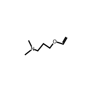 C=COCCCN(C)C